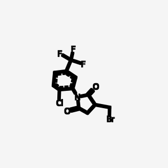 O=C1CC(CBr)C(=O)N1c1cc(C(F)(F)F)ccc1Cl